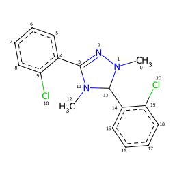 CN1N=C(c2ccccc2Cl)N(C)C1c1ccccc1Cl